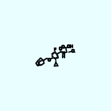 COC[C@H](NC(=O)c1cc(C2CC2)c(OCC23CC4CC(C2)C(C4)C3)cc1F)C(=O)O